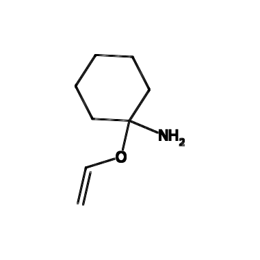 C=COC1(N)CCCCC1